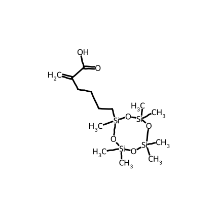 C=C(CCCC[Si]1(C)O[Si](C)(C)O[Si](C)(C)O[Si](C)(C)O1)C(=O)O